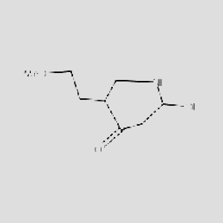 COCCC1CNC(O)CC1=O